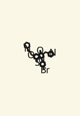 O=c1c(Cc2cccnc2)cn2c3c(cc(OCCN4CCCCC4)cc13)Sc1cc(Br)ccc1-2